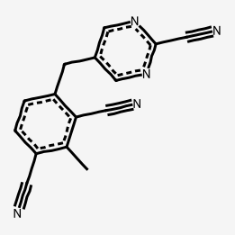 Cc1c(C#N)ccc(Cc2cnc(C#N)nc2)c1C#N